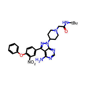 CC(C)(C)NC(=O)CN1CCC(n2nc(-c3ccc(Oc4ccccc4)c([N+](=O)[O-])c3)c3c(N)ncnc32)CC1